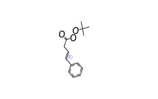 CC(C)(C)OOC(=O)C/C=C/c1ccccc1